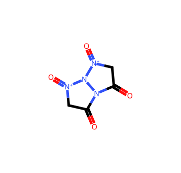 O=C1C[N+](=O)N2N1C(=O)C[N+]2=O